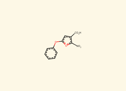 O=C(O)c1cc(Oc2ccccc2)oc1[N+](=O)[O-]